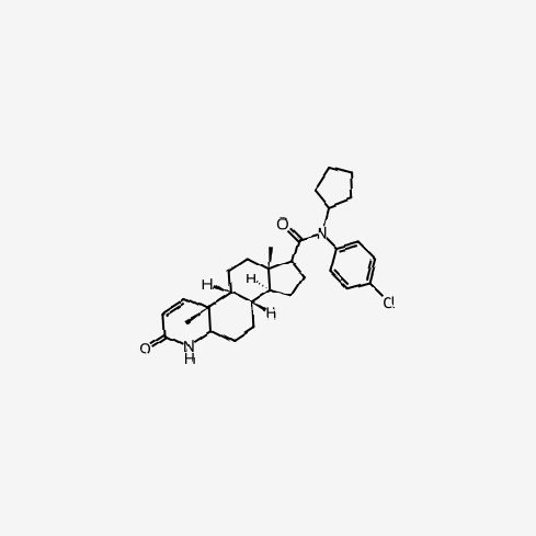 C[C@]12C=CC(=O)NC1CC[C@@H]1[C@H]2CC[C@]2(C)C(C(=O)N(c3ccc(Cl)cc3)C3CCCC3)CC[C@@H]12